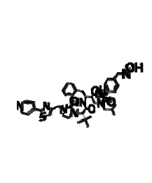 CC(C)CN(C[C@H](O)[C@H](Cc1ccccc1)NC(=O)[C@@H](N1CCN(Cc2csc(-c3ccncc3)n2)C1=O)C(C)(C)C)S(=O)(=O)c1ccc(C=NO)cc1